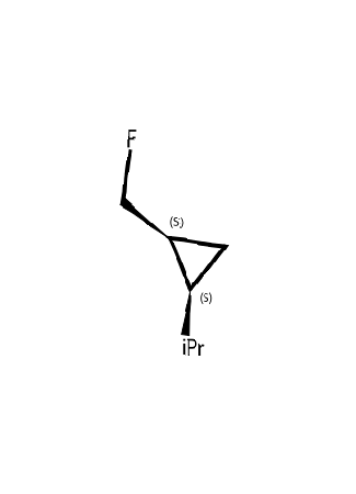 CC(C)[C@@H]1C[C@@H]1CF